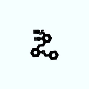 O=C(O)c1cccc(CCc2ccccc2OCc2ccccc2)c1O